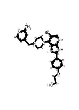 Cc1cc(CN2CCN(c3c(Br)cnc4[nH]c(-c5ccc(OCCO)cc5)nc34)CC2)ccn1